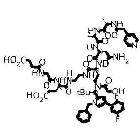 C[C@H](NC(=O)Cc1ccncc1)C(=O)N[C@H](C)C(=O)N[C@@H](CC(N)=O)C(=O)N[C@@H](CCN(C(=O)CO)[C@@H](c1cc(-c2cc(F)ccc2F)cn1Cc1ccccc1)C(C)(C)C)C(=O)NCCNC(=O)[C@@H](CCC(=O)O)NC(=O)CNC(=O)CCC(=O)O